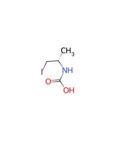 C[C@@H](CI)NC(=O)O